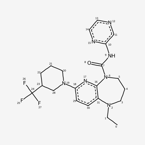 CCN1CCCN(C(=O)Nc2cnccn2)c2nc(N3CCCC(C(F)(F)F)C3)ccc21